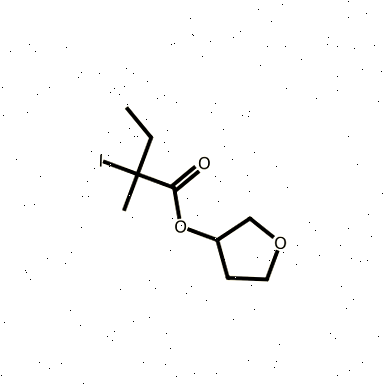 CCC(C)(I)C(=O)OC1CCOC1